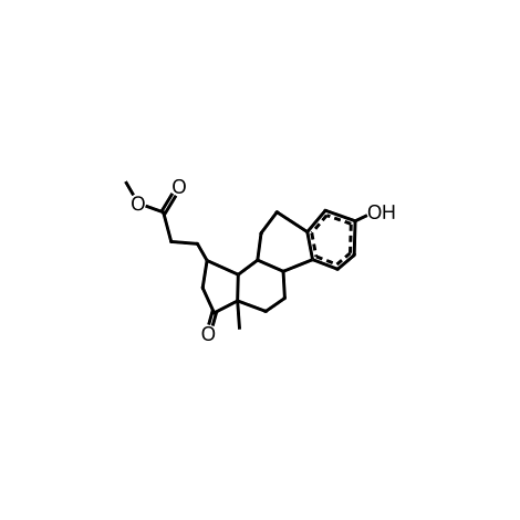 COC(=O)CCC1CC(=O)C2(C)CCC3c4ccc(O)cc4CCC3C12